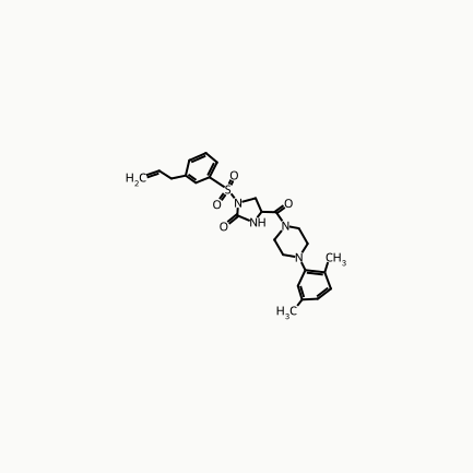 C=CCc1cccc(S(=O)(=O)N2CC(C(=O)N3CCN(c4cc(C)ccc4C)CC3)NC2=O)c1